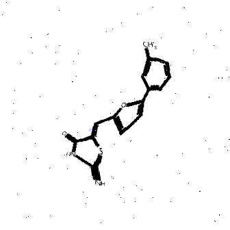 Cc1cccc(-c2ccc(/C=C3\SC(=N)NC3=O)o2)c1